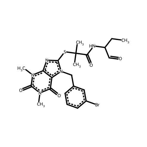 CCC(C=O)NC(=O)C(C)(C)Sc1nc2c(c(=O)n(C)c(=O)n2C)n1Cc1cccc(Br)c1